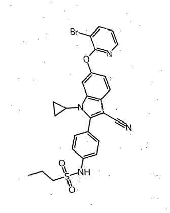 CCCS(=O)(=O)Nc1ccc(-c2c(C#N)c3ccc(Oc4ncccc4Br)cc3n2C2CC2)cc1